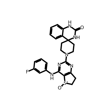 O=C1Nc2ccccc2C2(CCN(c3nc4c(c(Nc5cccc(F)c5)n3)[S+]([O-])CC4)CC2)N1